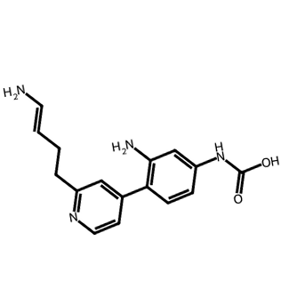 NC=CCCc1cc(-c2ccc(NC(=O)O)cc2N)ccn1